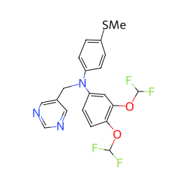 CSc1ccc(N(Cc2cncnc2)c2ccc(OC(F)F)c(OC(F)F)c2)cc1